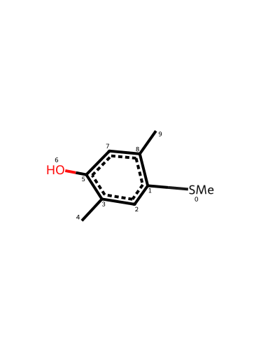 CSc1cc(C)c(O)cc1C